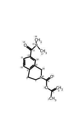 C=C(C)OC(=O)N1CCc2ccc(C(=O)N(C)C)cc2C1